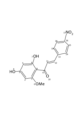 COc1cc(O)cc(O)c1C(=O)/C=C/c1ccc([N+](=O)[O-])cc1